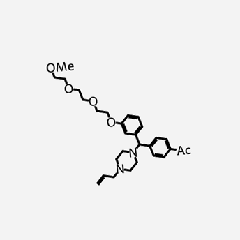 C=CCN1CCN(C(c2ccc(C(C)=O)cc2)c2cccc(OCCOCCOCCOC)c2)CC1